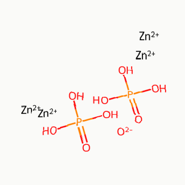 O=P(O)(O)O.O=P(O)(O)O.[O-2].[Zn+2].[Zn+2].[Zn+2].[Zn+2]